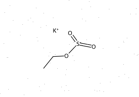 CCO[S-](=O)=O.[K+]